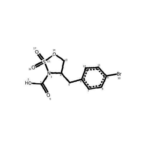 O=C(O)N1C(Cc2ccc(Br)cc2)COS1(=O)=O